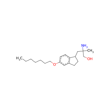 CCCCCCCOc1ccc2c(c1)CCC2CC(C)(N)CO